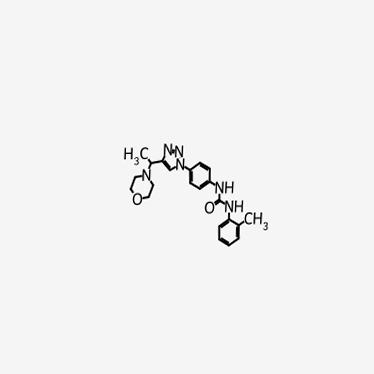 Cc1ccccc1NC(=O)Nc1ccc(-n2cc(C(C)N3CCOCC3)nn2)cc1